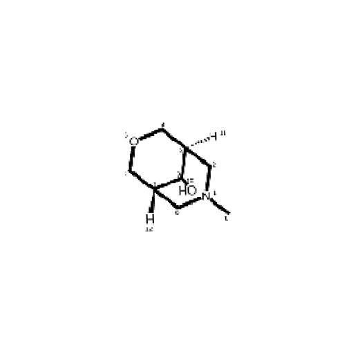 CN1C[C@@H]2COC[C@@H](C1)C2O